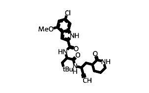 C#CC(CC1CCCNC1=O)NC(=O)C(CC(C)(C)C)NC(=O)c1cc2c(OC)cc(Cl)cc2[nH]1